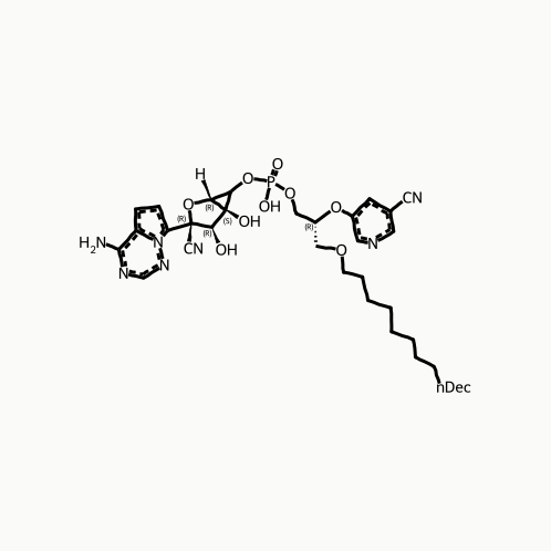 CCCCCCCCCCCCCCCCCCOC[C@H](COP(=O)(O)OC1[C@H]2O[C@@](C#N)(c3ccc4c(N)ncnn34)[C@H](O)[C@@]12O)Oc1cncc(C#N)c1